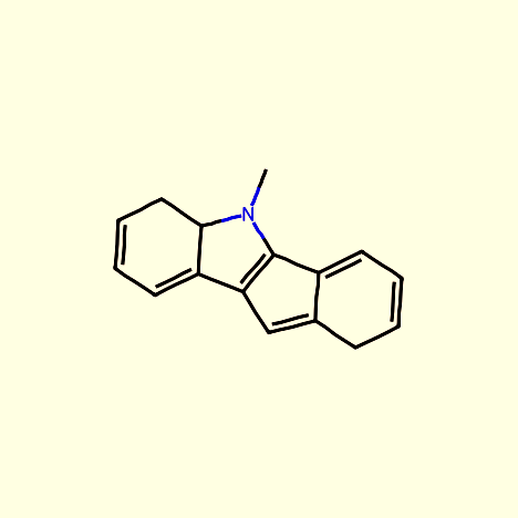 CN1C2=C(C=C3CC=CC=C32)C2=CC=CCC21